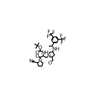 CC(NC1CC(C=O)N(CC(NC(=O)OC(C)(C)C)C(=O)N2CCCC2C#N)C1)c1cc(C(F)(F)F)cc(C(F)(F)F)c1